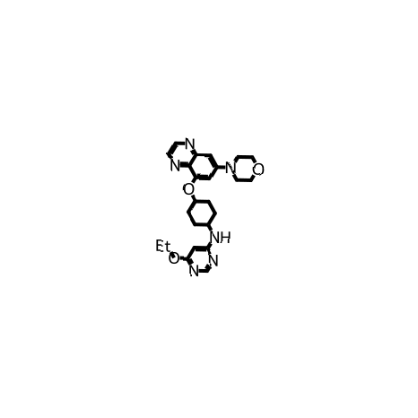 CCOc1cc(NC2CCC(Oc3cc(N4CCOCC4)cc4nccnc34)CC2)ncn1